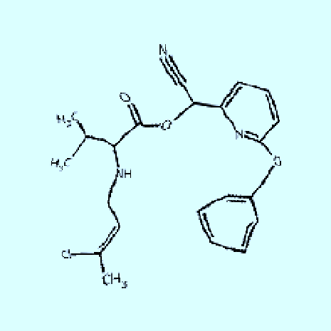 C/C(Cl)=C/CNC(C(=O)OC(C#N)c1cccc(Oc2ccccc2)n1)C(C)C